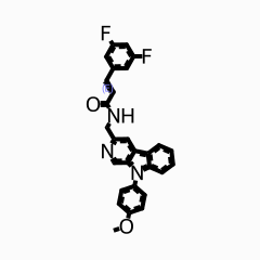 COc1ccc(-n2c3ccccc3c3cc(CNC(=O)/C=C/c4cc(F)cc(F)c4)ncc32)cc1